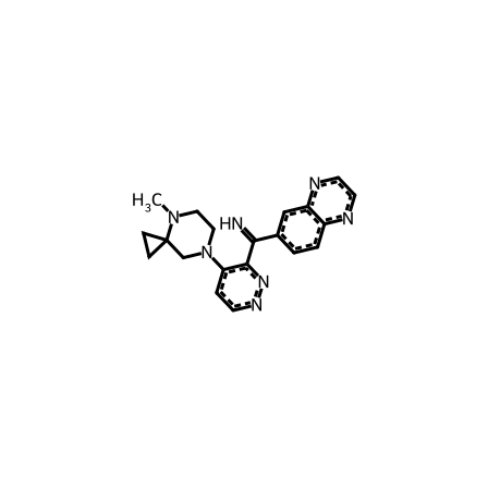 CN1CCN(c2ccnnc2C(=N)c2ccc3nccnc3c2)CC12CC2